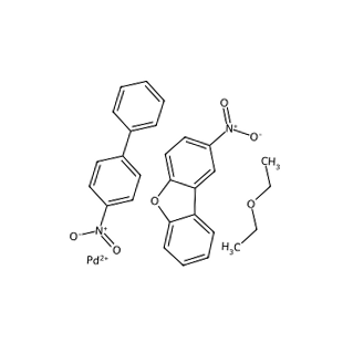 CCOCC.O=[N+]([O-])c1ccc(-c2ccccc2)cc1.O=[N+]([O-])c1ccc2oc3ccccc3c2c1.[Pd+2]